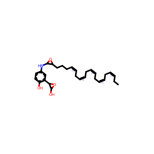 CC/C=C\C/C=C\C/C=C\C/C=C\C/C=C\CCCC1OC1Nc1ccc(O)c(C2OC2O)c1